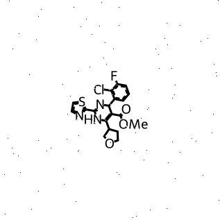 COC(=O)C1=C(C2CCOC2)NC(c2nccs2)=NC1c1cccc(F)c1Cl